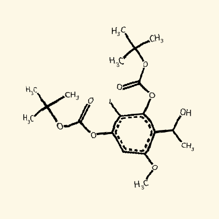 COc1cc(OC(=O)OC(C)(C)C)c(I)c(OC(=O)OC(C)(C)C)c1C(C)O